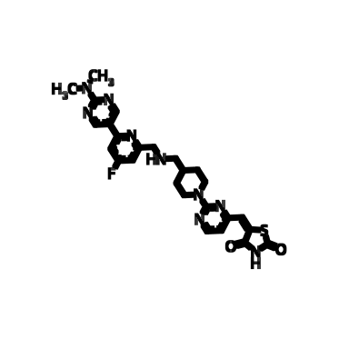 CN(C)c1ncc(-c2cc(F)cc(CNCC3CCN(c4nccc(C=C5SC(=O)NC5=O)n4)CC3)n2)cn1